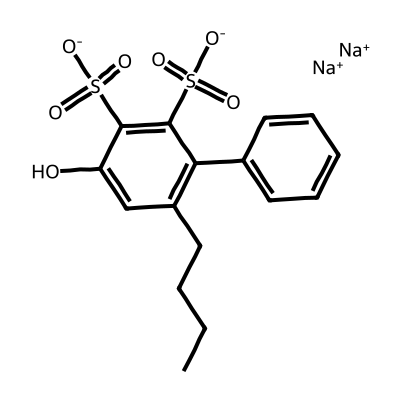 CCCCc1cc(O)c(S(=O)(=O)[O-])c(S(=O)(=O)[O-])c1-c1ccccc1.[Na+].[Na+]